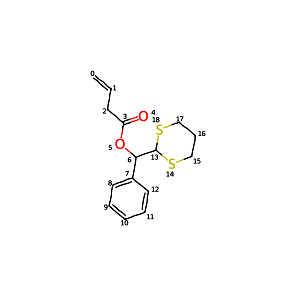 C=CCC(=O)OC(c1ccccc1)C1SCCCS1